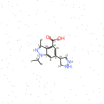 Cc1nn(C(C)C)c2cc(C3C=NNC3)cc(C(=O)O)c12